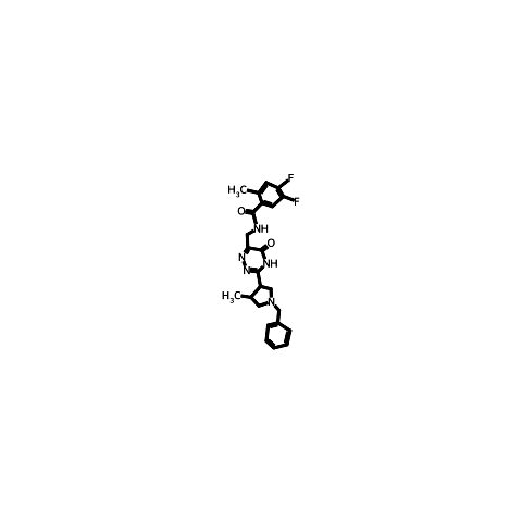 Cc1cc(F)c(F)cc1C(=O)NCc1nnc(C2CN(Cc3ccccc3)CC2C)[nH]c1=O